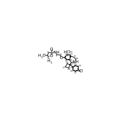 CC(C)CS(=O)(=O)NCCOc1ccc2c(c1)C(C1(c3ccc(Cl)cc3)CCC1)NCC2.Cl